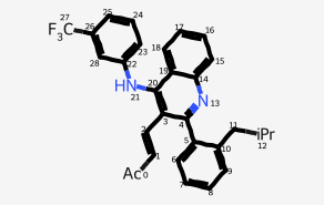 CC(=O)/C=C/c1c(-c2ccccc2CC(C)C)nc2ccccc2c1Nc1cccc(C(F)(F)F)c1